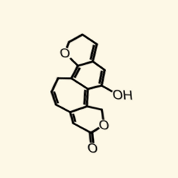 O=C1C=C2C=CCc3c4c(cc(O)c3=C2CO1)=CCCO4